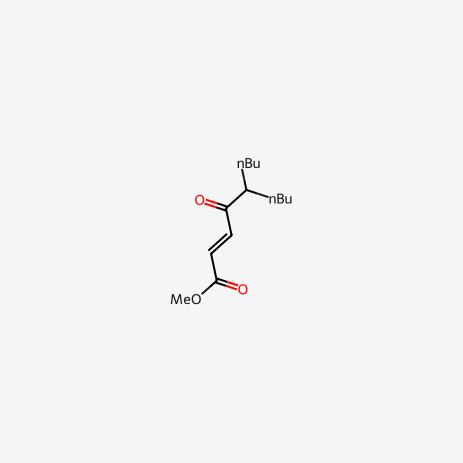 CCCCC(CCCC)C(=O)/C=C/C(=O)OC